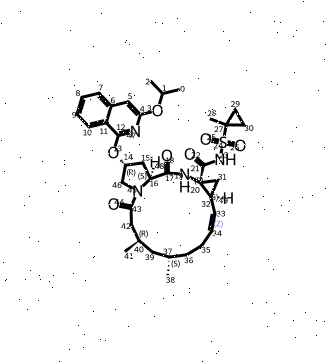 CC(C)Oc1cc2ccccc2c(O[C@@H]2C[C@H]3C(=O)N[C@]4(C(=O)NS(=O)(=O)C5(C)CC5)C[C@H]4/C=C\CC[C@H](C)C[C@@H](C)CC(=O)N3C2)n1